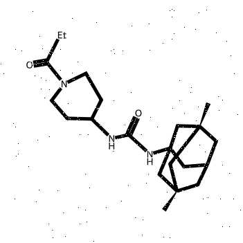 CCC(=O)N1CCC(NC(=O)NC23CC4C[C@@](C)(C2)C[C@](C)(C4)C3)CC1